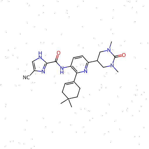 CN1CC(c2ccc(NC(=O)c3nc(C#N)c[nH]3)c(C3=CCC(C)(C)CC3)n2)CN(C)C1=O